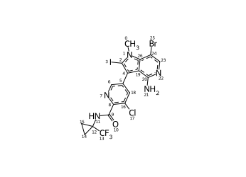 Cn1c(I)c(-c2cnc(C(=O)NC3(C(F)(F)F)CC3)c(Cl)c2)c2c(N)ncc(Br)c21